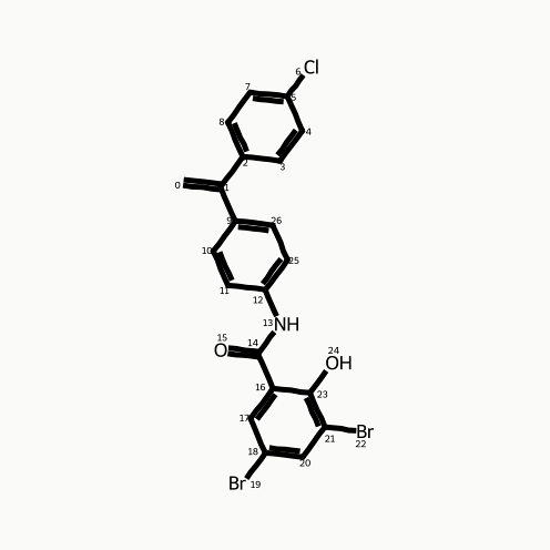 C=C(c1ccc(Cl)cc1)c1ccc(NC(=O)c2cc(Br)cc(Br)c2O)cc1